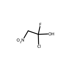 O=[N+]([O-])CC(O)(F)Cl